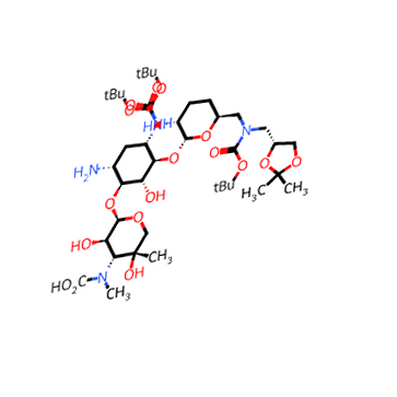 CN(C(=O)O)[C@@H]1[C@@H](O)[C@@H](O[C@@H]2[C@@H](O)[C@H](O[C@H]3O[C@H](CN(C[C@@H]4COC(C)(C)O4)C(=O)OC(C)(C)C)CC[C@H]3NC(=O)OC(C)(C)C)[C@@H](NC(=O)OC(C)(C)C)C[C@H]2N)OC[C@]1(C)O